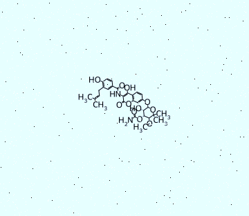 COC1[C@H](OC(N)=O)[C@H](O)C(Oc2ccc3c(O)c(NC(=O)c4ccc(O)c(CC=C(C)C)c4)c(=O)oc3c2)OC1(C)C